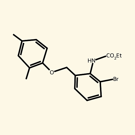 CCOC(=O)Nc1c(Br)cccc1COc1ccc(C)cc1C